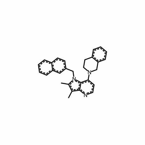 Cc1c(C)n(Cc2ccc3ccccc3c2)c2c(N3CCc4ccccc4C3)ccnc12